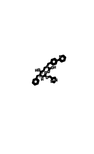 O=C(N[C@@H](Cc1ccccc1)[C@@H](O)CCN(Cc1ccc(-c2ccccn2)cc1)C(=O)O)OCc1cncs1